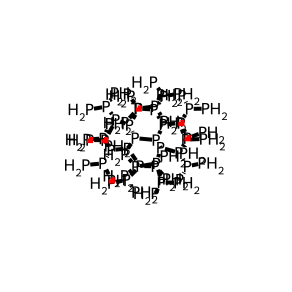 PP(P)P(P)P(P(P(P)P)P(P)P)P(P(P(P(P)P)P(P)P)P(P(P)P)P(P)P)P(P(P(P(P)P)P(P)P)P(P(P)P)P(P)P)P(P(P(P)P)P(P)P)P(P(P)P)P(P)P